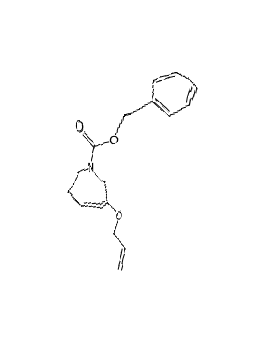 C=CCOC1=CCCN(C(=O)OCc2ccccc2)C1